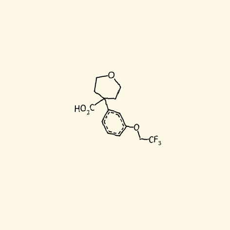 O=C(O)C1(c2cccc(OCC(F)(F)F)c2)CCOCC1